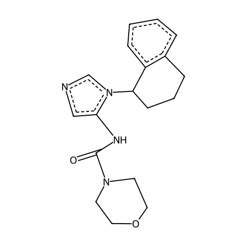 O=C(Nc1cncn1C1CCCc2ccccc21)N1CCOCC1